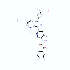 Cc1cn2c(C3CC(C)(O)C3)nc(-c3ccc4c(c3F)CCN4C(=O)C(O)c3cccc(F)c3)c2c(N)n1